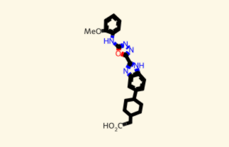 COc1ccccc1Nc1nnc(-c2nc3cc(C4CCC(CC(=O)O)CC4)ccc3[nH]2)o1